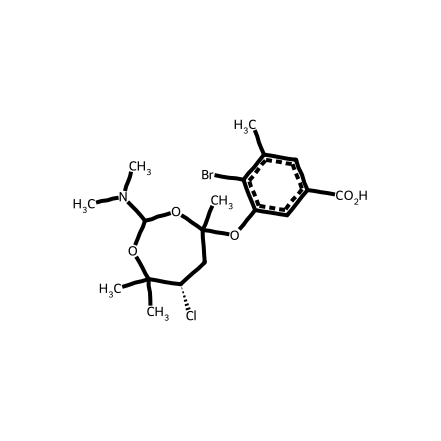 Cc1cc(C(=O)O)cc(OC2(C)C[C@H](Cl)C(C)(C)OC(N(C)C)O2)c1Br